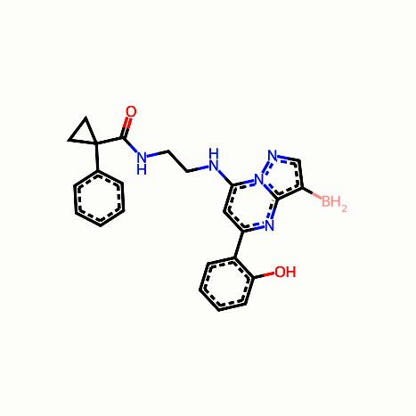 Bc1cnn2c(NCCNC(=O)C3(c4ccccc4)CC3)cc(-c3ccccc3O)nc12